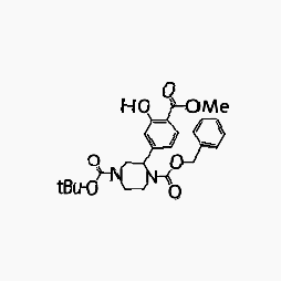 COC(=O)c1ccc(C2CN(C(=O)OC(C)(C)C)CCN2C(=O)OCc2ccccc2)cc1O